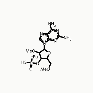 COCC1OC(n2cnc3c(N)nc(N)nc32)C(OC)C1OP(=O)(S)C(C)(C)C